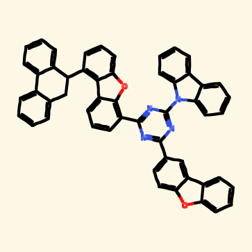 c1ccc2c(c1)CC(c1cccc3oc4c(-c5nc(-c6ccc7oc8ccccc8c7c6)nc(-n6c7ccccc7c7ccccc76)n5)cccc4c13)c1ccccc1-2